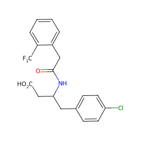 O=C(O)CC(Cc1ccc(Cl)cc1)NC(=O)Cc1ccccc1C(F)(F)F